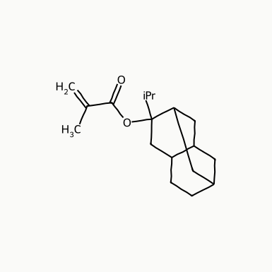 C=C(C)C(=O)OC1(C(C)C)CC2CCC3CC2CC1C3